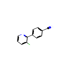 N#Cc1ccc(-c2ncccc2Cl)cc1